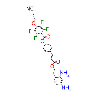 N#CCCCOc1c(F)c(F)c(C(=O)Oc2ccc(/C=C/C(=O)OCCc3ccc(N)cc3N)cc2)c(F)c1F